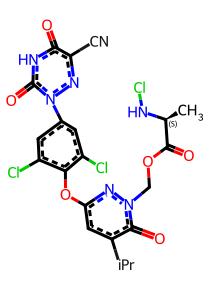 CC(C)c1cc(Oc2c(Cl)cc(-n3nc(C#N)c(=O)[nH]c3=O)cc2Cl)nn(COC(=O)[C@H](C)NCl)c1=O